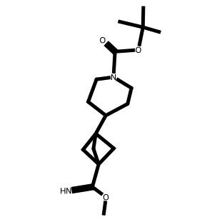 COC(=N)C12CC(C3CCN(C(=O)OC(C)(C)C)CC3)(C1)C2